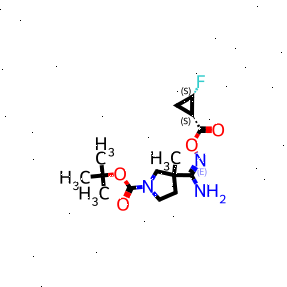 CC(C)(C)OC(=O)N1CCC(C)(/C(N)=N\OC(=O)[C@@H]2C[C@@H]2F)C1